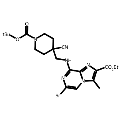 CCOC(=O)c1nc2c(NCC3(C#N)CCN(C(=O)OC(C)(C)C)CC3)nc(Br)cn2c1C